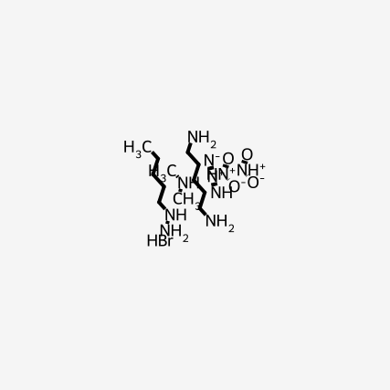 Br.CCCCCNN.CNC.NCCCCCN.O=[NH+][O-].O=[NH+][O-].[N-]=[N+]=N